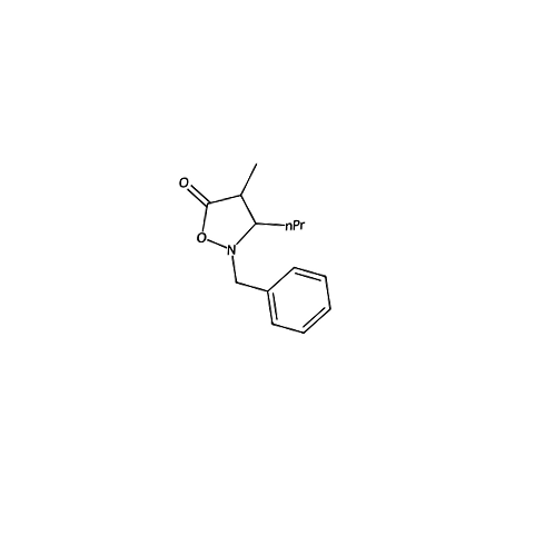 CCCC1C(C)C(=O)ON1Cc1ccccc1